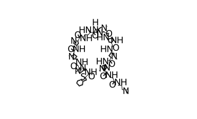 CN(C)CCCNC(=O)CCNC(=O)c1nc(NC(=O)c2cc(NC(=O)c3cc(NC(=O)c4nc(NC(=O)C(=N)CCNC(=O)c5cc(NC(=O)c6cc(NC(=O)c7nc(NC(=O)c8cc9ccccc9s8)cn7C)cn6C)cn5C)cn4C)c[nH]3)cn2C)cn1C